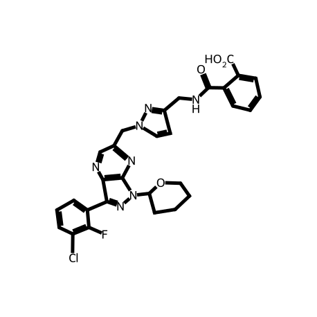 O=C(O)c1ccccc1C(=O)NCc1ccn(Cc2cnc3c(-c4cccc(Cl)c4F)nn(C4CCCCO4)c3n2)n1